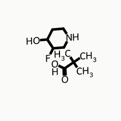 CC(C)(C)C(=O)O.OC1CCNCC1F